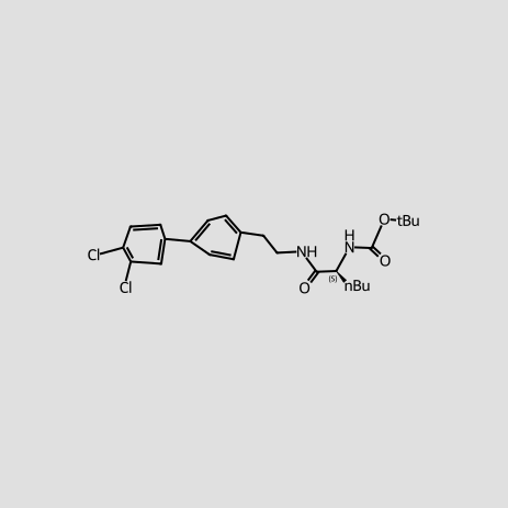 CCCC[C@H](NC(=O)OC(C)(C)C)C(=O)NCCc1ccc(-c2ccc(Cl)c(Cl)c2)cc1